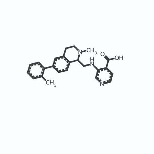 Cc1ccccc1-c1ccc2c(c1)CCN(C)C2CNc1cnccc1C(=O)O